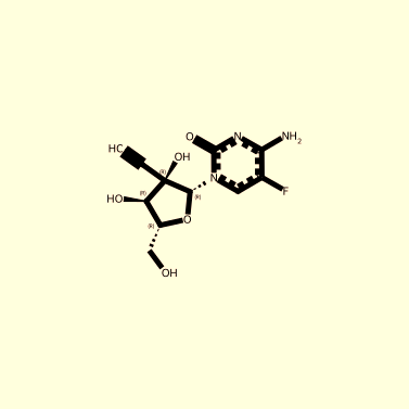 C#C[C@@]1(O)[C@H](O)[C@@H](CO)O[C@H]1n1cc(F)c(N)nc1=O